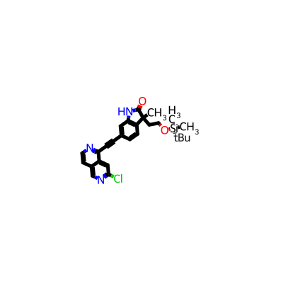 CC1(CCO[Si](C)(C)C(C)(C)C)C(=O)Nc2cc(C#Cc3nccc4cnc(Cl)cc34)ccc21